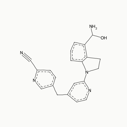 N#Cc1ccc(Cc2ccnc(N3CCc4c(C(N)O)cccc43)c2)cn1